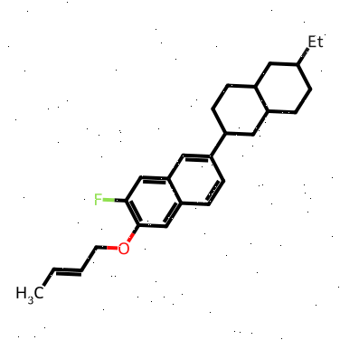 C/C=C/COc1cc2ccc(C3CCC4CC(CC)CCC4C3)cc2cc1F